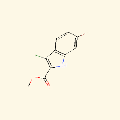 COC(=O)c1[nH]c2cc(Br)ccc2c1Cl